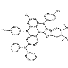 CC(C)(C)c1ccc(N2c3cc(N(c4ccccc4)c4ccccc4)ccc3B3c4sc5cc6c(cc5c4N(c4ccc(C(C)(C)C)cc4)c4cc(Cl)cc2c43)C(C)(C)CCC6(C)C)cc1